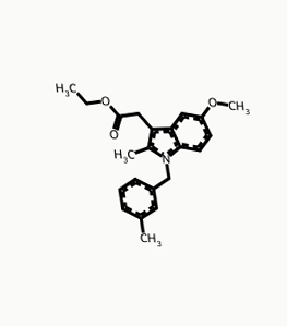 CCOC(=O)Cc1c(C)n(Cc2cccc(C)c2)c2ccc(OC)cc12